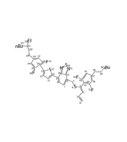 C=C/C=C(\SCc1ccc(-c2ccc(-c3c(F)cc(CCC(CC)CCCC)cc3F)s2)c2nsnc12)c1c(F)cc(CCC(C)CC)cc1F